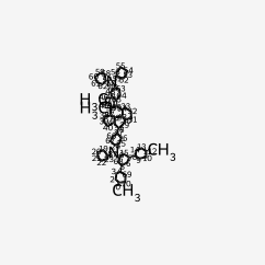 Cc1ccc(-c2cc(-c3ccc(C)cc3)cc(N(c3ccccc3)c3ccc(-c4cc5cccc6c7c(c8cccc4c8c56)[Si](C)(C)c4cc(N(c5ccccc5)c5ccccc5)ccc4-7)cc3)c2)cc1